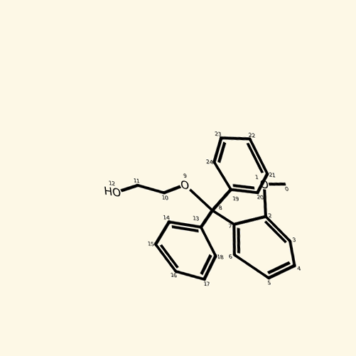 COc1ccccc1C(OCCO)(c1ccccc1)c1ccccc1